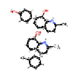 Cc1ccc2cccc(O)c2n1.Cc1ccc2cccc(O)c2n1.Oc1ccccc1.[Al][c]1ccccc1